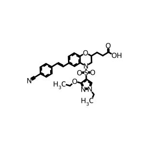 CCOc1nn(CC)cc1S(=O)(=O)N1CC(CCC(=O)O)Oc2ccc(C=Cc3ccc(C#N)cc3)cc21